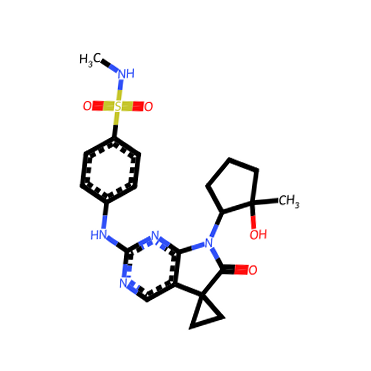 CNS(=O)(=O)c1ccc(Nc2ncc3c(n2)N(C2CCCC2(C)O)C(=O)C32CC2)cc1